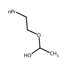 CCCCCO[C](C)O